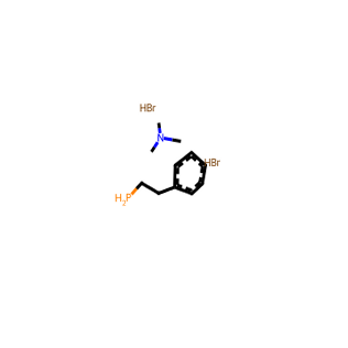 Br.Br.CN(C)C.PCCc1ccccc1